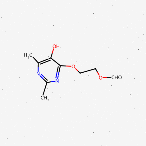 Cc1nc(C)c(O)c(OCCOC=O)n1